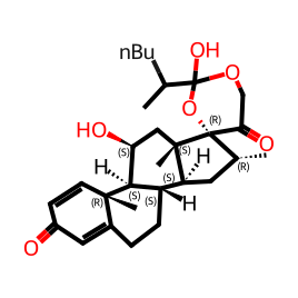 CCCCC(C)C1(O)OCC(=O)[C@@]2(O1)[C@H](C)C[C@H]1[C@@H]3CCC4=CC(=O)C=C[C@]4(C)[C@H]3[C@@H](O)C[C@@]12C